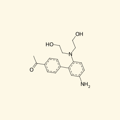 CC(=O)c1ccc(-c2cc(N)ccc2N(CCO)CCO)cc1